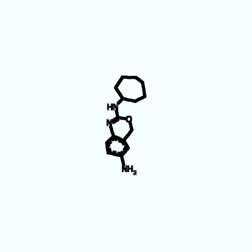 Nc1ccc2c(c1)COC(NC1CCCCCC1)=N2